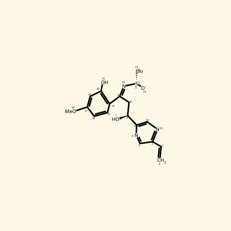 C=Cc1cnc([C@@H](O)C/C(=N\[S@@+]([O-])C(C)(C)C)c2ccc(OC)cc2O)cn1